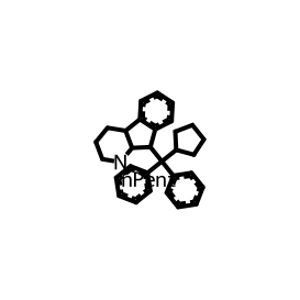 CCCCCN1CCCC2c3ccccc3C(C(c3ccccc3)(c3ccccc3)C3CCCC3)C21